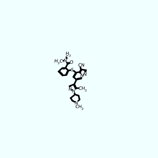 Cc1c(-c2cc(Sc3ccccc3C(=O)N(C)C)c3c(C#N)cnn3c2)cnn1C1CCN(C)CC1